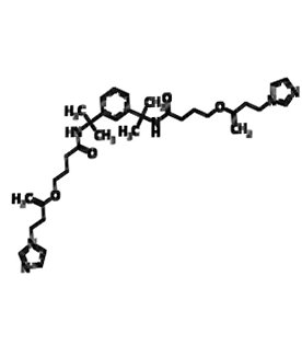 C=C(CCn1ccnc1)OCCCC(=O)NC(C)(C)c1cccc(C(C)(C)NC(=O)CCCOC(=C)CCn2ccnc2)c1